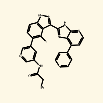 CC(C)CC(=O)Nc1cncc(-c2ccc3[nH]nc(-c4nc5c(-c6ccncc6)ccnc5[nH]4)c3c2F)c1